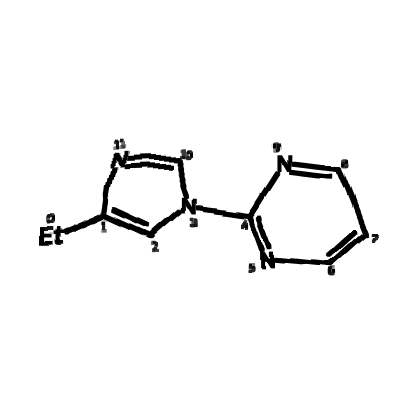 CCc1cn(-c2ncccn2)cn1